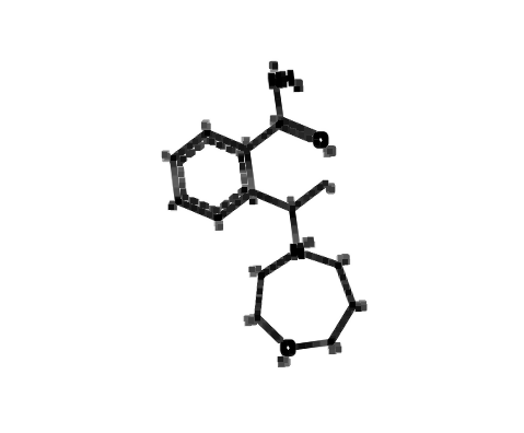 CC(c1ccccc1C(N)=O)N1CCCOCC1